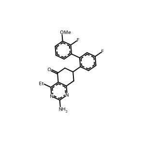 CCc1nc(N)nc2c1C(=O)CC(c1ccc(F)cc1-c1cccc(OC)c1F)C2